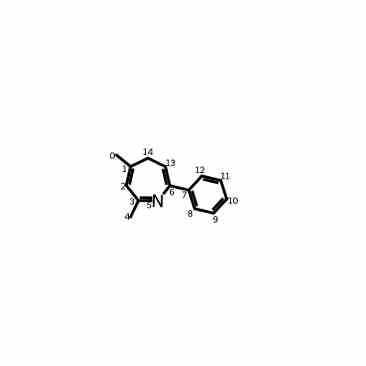 CC1=CC(C)=NC(c2ccccc2)=CC1